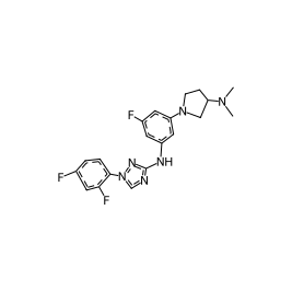 CN(C)C1CCN(c2cc(F)cc(Nc3ncn(-c4ccc(F)cc4F)n3)c2)C1